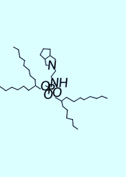 CCCCCCCCC(CCCCCC)COP(=O)(NCCN1CC2CCCC2C1)OCC(CCCCCC)CCCCCCCC